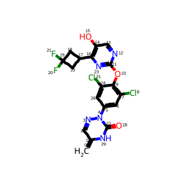 C=C1C=NN(c2cc(Cl)c(Oc3ncc(O)c(C4CC(F)(F)C4)n3)c(Cl)c2)C(=O)N1